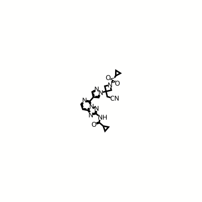 N#CCC1(n2cc(-c3nccc4nc(NC(=O)C5CC5)nn34)cn2)CN(S(=O)(=O)C2CC2)C1